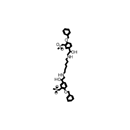 CS(=O)(=O)Cc1cc(C(O)CNCCCCCCNCC(O)c2ccc(OCc3ccccc3)c(CS(C)(=O)=O)c2)ccc1OCc1ccccc1